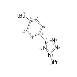 CC(C)n1nnc(-c2ccc(C(C)(C)C)cc2)n1